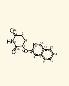 O=C1CCC(Oc2cc3ccccc3cn2)C(=O)N1